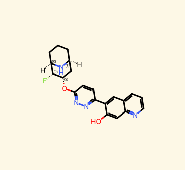 Oc1cc2ncccc2cc1-c1ccc(O[C@H]2C[C@@H]3CCC[C@@H](N3)[C@H]2F)nn1